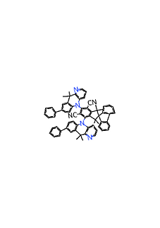 CC1(C)c2cc(-c3ccccc3)ccc2N(c2c(C#N)c(N3c4ccc(-c5ccccc5)cc4C(C)(C)c4ncccc43)c3c(c2C#N)C(C)(C)C2(c4ccccc4-c4ccccc42)C3(C)C)c2cccnc21